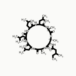 CCC(C)CC(=O)N[C@@H]1C(=O)N[C@@H](C)C(=O)NC(CC(C)C)C(=O)NC(C)(CC(C)C)C(=O)NC(CC(C)C)C(=O)NC(CC(C)C)C(=O)N[C@@H](C)C(=O)O[C@@H]1C